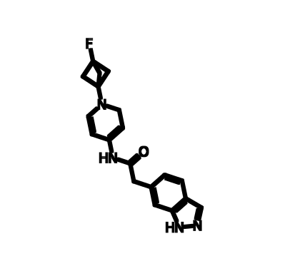 O=C(Cc1ccc2cn[nH]c2c1)NC1=CCN(C23CC(F)(C2)C3)C=C1